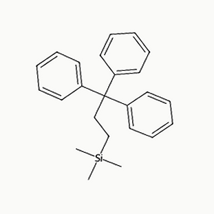 C[Si](C)(C)CCC(c1ccccc1)(c1ccccc1)c1ccccc1